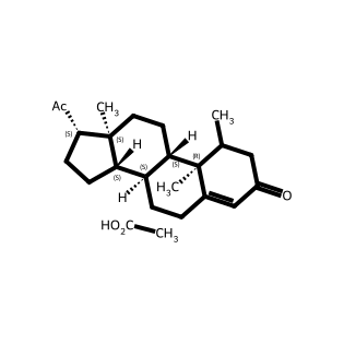 CC(=O)O.CC(=O)[C@H]1CC[C@H]2[C@@H]3CCC4=CC(=O)CC(C)[C@]4(C)[C@H]3CC[C@]12C